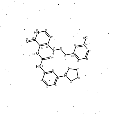 O=C(Nc1cccc(N2CCCC2)c1)Oc1c(NCCc2cccc(Cl)c2)cc[nH]c1=O